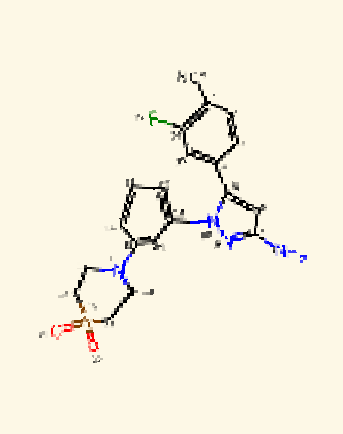 N#Cc1ccc(-c2cc(N)nn2-c2cccc(N3CCS(=O)(=O)CC3)c2)cc1F